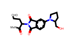 CNC(=O)C(CCC=O)N1C(=O)c2ccc(N3CCCC3CO)cc2C1=O